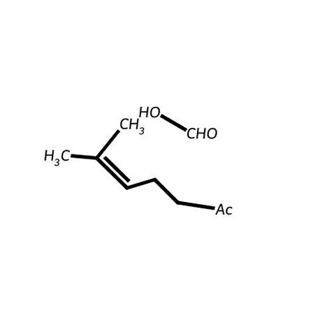 CC(=O)CCC=C(C)C.O=CO